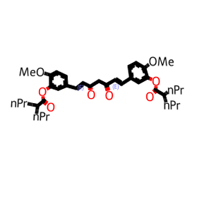 CCCC(CCC)C(=O)Oc1cc(/C=C/C(=O)CC(=O)/C=C/c2ccc(OC)c(OC(=O)C(CCC)CCC)c2)ccc1OC